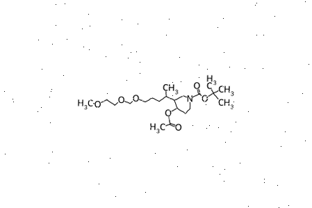 COCCOCOCCCC(C)C1CN(C(=O)OC(C)(C)C)CCC1OC(C)=O